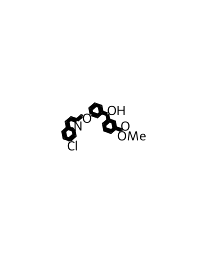 COC(=O)c1cccc(C(O)c2cccc(OCc3ccc4ccc(Cl)cc4n3)c2)c1